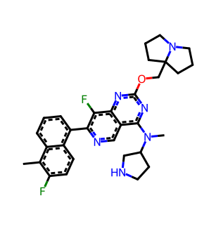 Cc1c(F)ccc2c(-c3ncc4c(N(C)C5CCNC5)nc(OCC56CCCN5CCC6)nc4c3F)cccc12